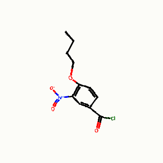 CCCCOc1ccc(C(=O)Cl)cc1[N+](=O)[O-]